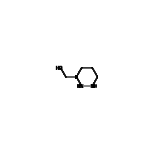 OCN1CCCNN1